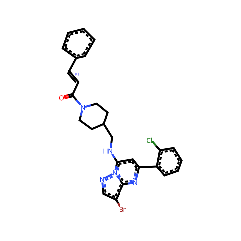 O=C(/C=C/c1ccccc1)N1CCC(CNc2cc(-c3ccccc3Cl)nc3c(Br)cnn23)CC1